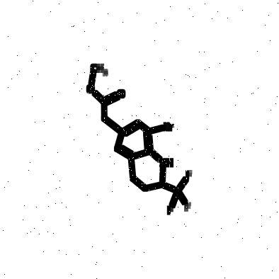 COC(=O)Cc1cc(Br)c2c(c1)CCC(C(F)(F)F)N2